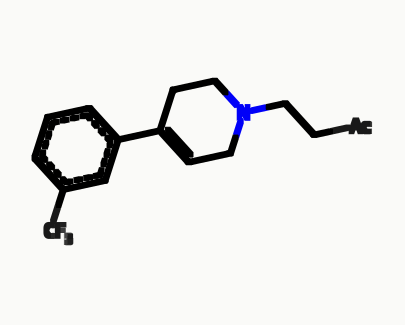 CC(=O)CCN1CC=C(c2cccc(C(F)(F)F)c2)CC1